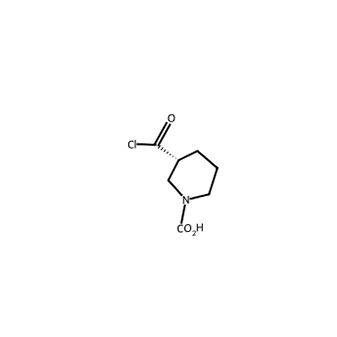 O=C(Cl)[C@@H]1CCCN(C(=O)O)C1